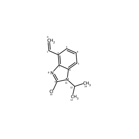 C=Cc1cccc2c1nc(Cl)n2C(C)C